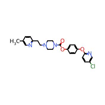 Cc1ccc(CCN2CCN(C(=O)Oc3ccc(Oc4ccc(Cl)cn4)cc3)CC2)nc1